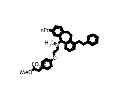 CCCc1ccc2c(c1)C(N(C)CCOc1ccc(CC(OC)C(=O)OCC)cc1)c1cccc(CCc3ccccc3)c1CC2